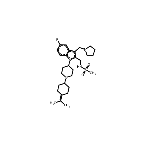 CC(C)=C1CCC(N2CCC(n3c(CNS(C)(=O)=O)c(CN4CCCC4)c4cc(F)ccc43)CC2)CC1